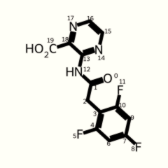 O=C(Cc1c(F)cc(F)cc1F)Nc1nccnc1C(=O)O